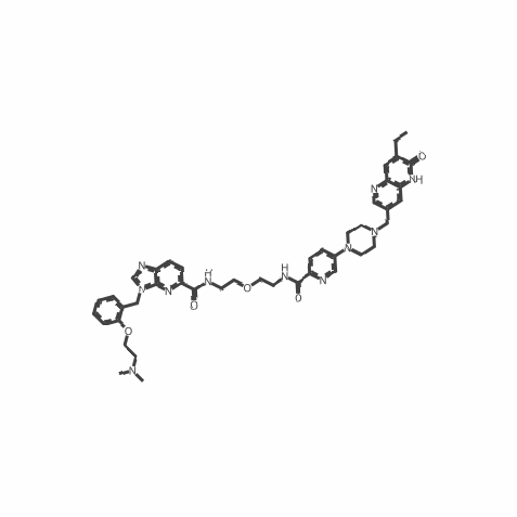 CCc1cc2ncc(CN3CCN(c4ccc(C(=O)NCCOCCNC(=O)c5ccc6ncn(Cc7ccccc7OCCN(C)C)c6n5)nc4)CC3)cc2[nH]c1=O